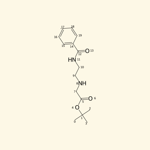 CC(C)(C)OC(=O)CNCCNC(=O)c1cc[c]cc1